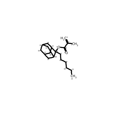 C=C(C)C(=O)OC1(CCCCCC)C2CC3CC(C2)CC1C3